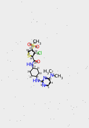 CN(C)c1ccnc(NC2CCC(NC(=O)c3scc(S(C)(=O)=O)c3Cl)CC2)n1